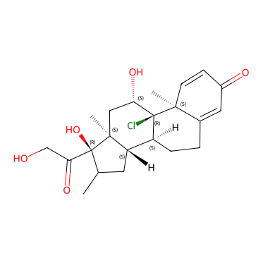 CC1C[C@H]2[C@@H]3CCC4=CC(=O)C=C[C@]4(C)[C@@]3(Cl)[C@@H](O)C[C@]2(C)[C@@]1(O)C(=O)CO